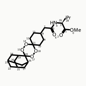 COC(=O)[C@@H](NC(=O)CC1CCC2(CC1)OOC1(OO2)C2CC3CC(C2)CC1C3)C(C)C